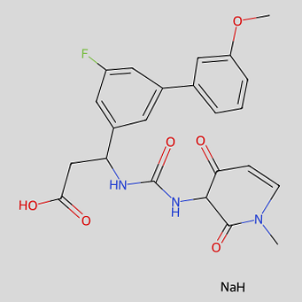 COc1cccc(-c2cc(F)cc(C(CC(=O)O)NC(=O)NC3C(=O)C=CN(C)C3=O)c2)c1.[NaH]